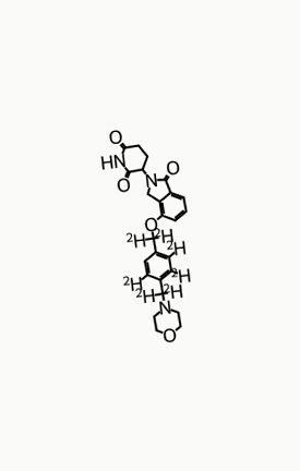 [2H]c1cc(C([2H])([2H])Oc2cccc3c2CN(C2CCC(=O)NC2=O)C3=O)c([2H])c([2H])c1C([2H])([2H])N1CCOCC1